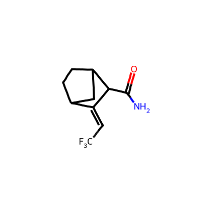 NC(=O)C1C(=CC(F)(F)F)C2CCC1C2